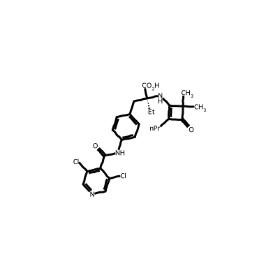 CCCC1=C(N[C@@](CC)(Cc2ccc(NC(=O)c3c(Cl)cncc3Cl)cc2)C(=O)O)C(C)(C)C1=O